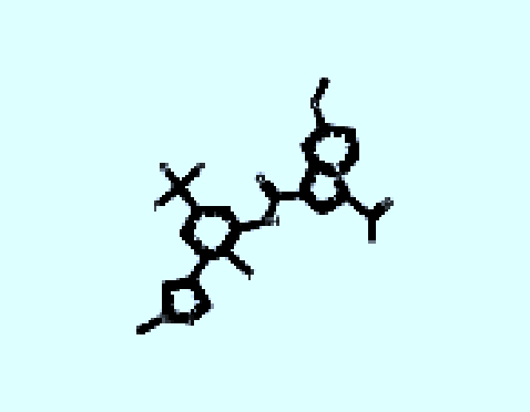 COc1ccn2c(C(C)=O)cc(C(=O)Nc3cc(C(F)(F)F)cc(-c4cnn(C)c4)c3F)c2c1